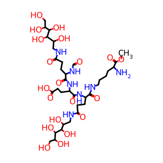 COC(=O)C(N)CCCCNC(=O)C(CCC(=O)NCC(O)C(O)C(O)C(O)CO)NC(=O)C(CCC(=O)O)NC(=O)C(CCC(=O)NCC(O)C(O)C(O)C(O)CO)NC=O